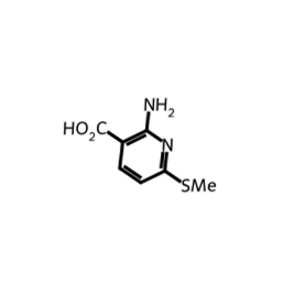 CSc1ccc(C(=O)O)c(N)n1